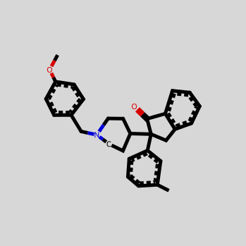 COc1ccc(CN2CCC(C3(c4cccc(C)c4)Cc4ccccc4C3=O)CC2)cc1